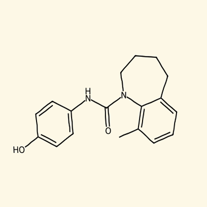 Cc1cccc2c1N(C(=O)Nc1ccc(O)cc1)CCCC2